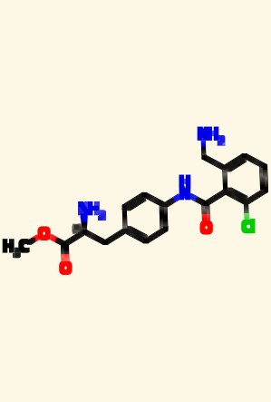 COC(=O)[C@@H](N)Cc1ccc(NC(=O)c2c(Cl)cccc2CN)cc1